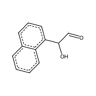 O=[C]C(O)c1cccc2ccccc12